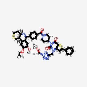 CCOc1cc2c(cc1OC)C(c1ccc(C(=O)N3CCC(n4c(=O)c5sc(-c6ccccc6)cc5n(Cc5nnn(COC)n5)c4=O)CC3)cc1)=N[C@@H]1CCSC[C@H]21